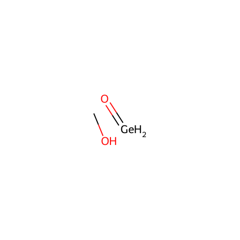 CO.[O]=[GeH2]